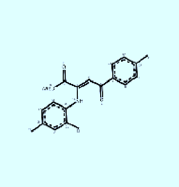 COC(=O)C(=CC(=O)c1ccc(C)cc1)Nc1ccc(C)cc1C